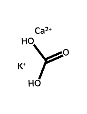 O=C(O)O.[Ca+2].[K+]